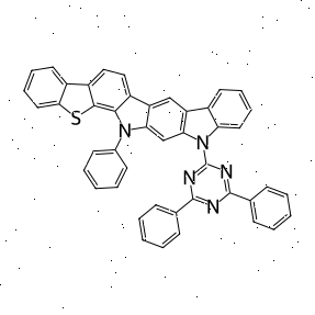 c1ccc(-c2nc(-c3ccccc3)nc(-n3c4ccccc4c4cc5c6ccc7c8ccccc8sc7c6n(-c6ccccc6)c5cc43)n2)cc1